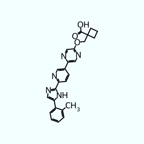 Cc1ccccc1-c1cnc(-c2ccc(-c3cnc(OCC4(C(=O)O)CCC4)cn3)cn2)[nH]1